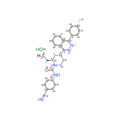 CC[C@H]1CN(c2nnc(-c3ccc(F)cc3)c3ccccc23)CCN1C(=O)Nc1ccc(C#N)cc1.Cl